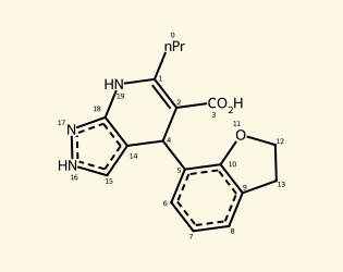 CCCC1=C(C(=O)O)C(c2cccc3c2OCC3)c2c[nH]nc2N1